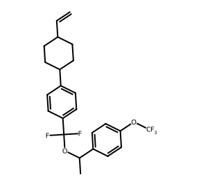 C=CC1CCC(c2ccc(C(F)(F)OC(C)c3ccc(OC(F)(F)F)cc3)cc2)CC1